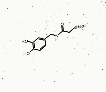 CCCCCCCCC(=O)NCc1ccc(O)c(O)c1